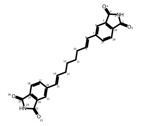 O=C1NC(=O)c2cc(/C=C/CCCC/C=C/c3ccc4c(c3)C(=O)NC4=O)ccc21